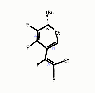 CC/C=C(C(\F)=C(\F)[C@@H](I)C(C)(C)C)/C(I)=C(/F)CC